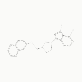 Fc1cn([C@H]2CC[C@@H](COc3ccc4cccnc4c3)O2)c2ncnc(Cl)c12